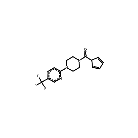 O=C(C1C=CC=C1)N1CCN(c2ccc(C(F)(F)F)cn2)CC1